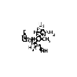 Cc1cc(N)nc([C@@H]2Cc3nc(OC[C@@]45CCCN4C[C@H](F)C5)nc(N(C)CC4CNC4)c3C[C@H]2C)c1C(F)(F)F